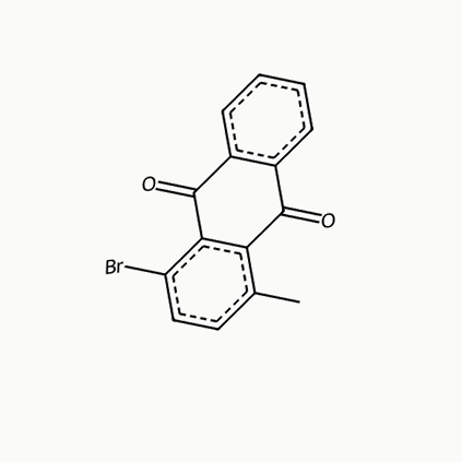 Cc1ccc(Br)c2c1C(=O)c1ccccc1C2=O